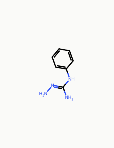 NN=C(N)Nc1cc[c]cc1